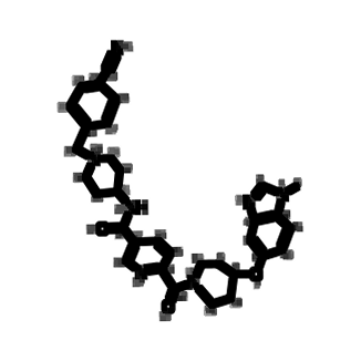 Cn1cnc2cc(OC3CCN(C(=O)c4ccc(C(=O)NC5CCN(Cc6ccc(C#N)cc6)CC5)cn4)CC3)ccc21